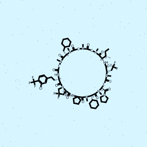 CC[C@H](C)[C@@H]1NC(=O)[C@H](CC(F)(F)F)N(C)C(=O)C[C@@H](C(=O)N2CCCC2)N(C)C(=O)[C@H](C2CCCCC2)N(C)C(=O)C2(CCCC2)NC(=O)[C@@H]2CC(F)(F)CN2C(=O)[C@H](CCc2ccc(C(F)(F)F)c(Cl)c2)NC(=O)CN(C)C(=O)[C@H](CC2CCCCC2)N(C)C(=O)CN(C)C(=O)CN(C)C1=O